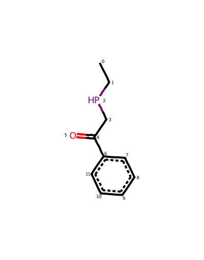 CCPCC(=O)c1ccccc1